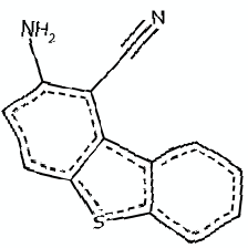 N#Cc1c(N)ccc2sc3ccccc3c12